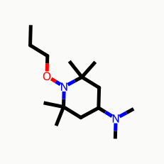 CCCON1C(C)(C)CC(N(C)C)CC1(C)C